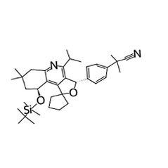 CC(C)c1nc2c(c3c1[C@H](c1ccc(C(C)(C)C#N)cc1)OC31CCCC1)[C@@H](O[Si](C)(C)C(C)(C)C)CC(C)(C)C2